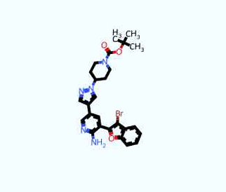 CC(C)(C)OC(=O)N1CCC(n2cc(-c3cnc(N)c(-c4oc5ccccc5c4Br)c3)cn2)CC1